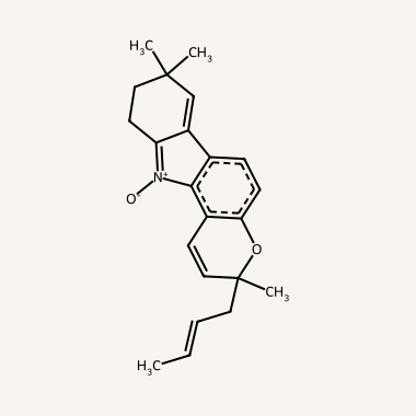 CC=CCC1(C)C=Cc2c(ccc3c2[N+]([O-])=C2CCC(C)(C)C=C23)O1